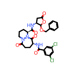 O=C1C[C@H](NC(=O)[C@@H]2CCCN3C(=O)CC[C@H](NC(=O)c4cc(Cl)cc(Cl)c4)C(=O)N23)C(OCc2ccccc2)O1